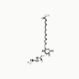 CNNNC(=O)CC[C@H](NC(=O)CCCCCCCCCCCCC(=O)O)C(=O)O